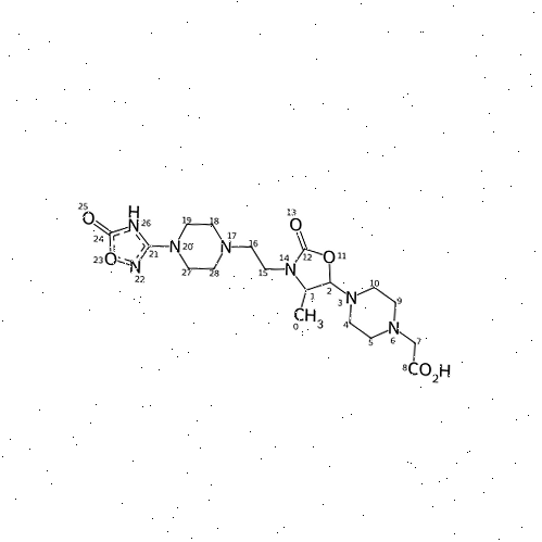 CC1C(N2CCN(CC(=O)O)CC2)OC(=O)N1CCN1CCN(c2noc(=O)[nH]2)CC1